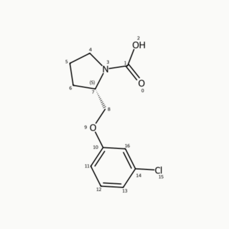 O=C(O)N1CCC[C@H]1COc1cccc(Cl)c1